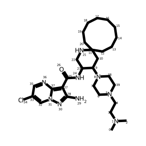 CN(C)CCN1CCN(C2CC3(CCCCCCCCC3)NCC2NC(=O)c2c(N)nn3cc(Cl)cnc23)CC1